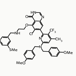 COc1ccc(CN(Cc2ccc(OC)cc2)c2cc(C)c(C(F)(F)F)c(-c3cc4nc[nH]c(=O)c4c(OCCNCc4cncc(SC)c4)c3Cl)n2)cc1